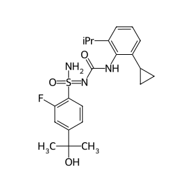 CC(C)c1cccc(C2CC2)c1NC(=O)N=S(N)(=O)c1ccc(C(C)(C)O)cc1F